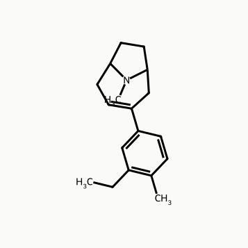 CCc1cc(C2=CCC3CCC(C2)N3C)ccc1C